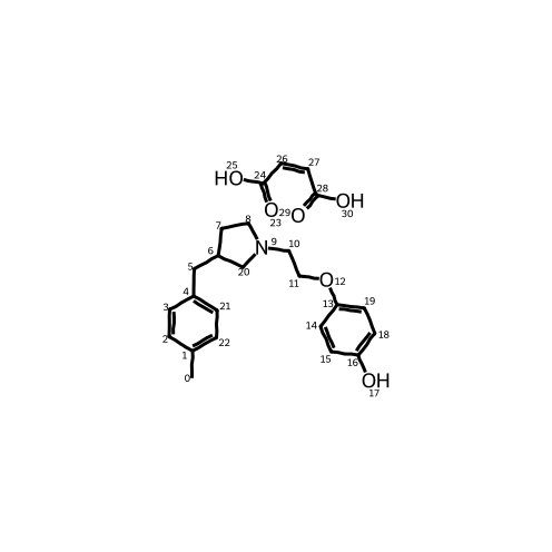 Cc1ccc(CC2CCN(CCOc3ccc(O)cc3)C2)cc1.O=C(O)/C=C\C(=O)O